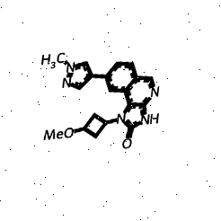 COC1CC(n2c(=O)[nH]c3ncc4ccc(-c5cnn(C)c5)cc4c32)C1